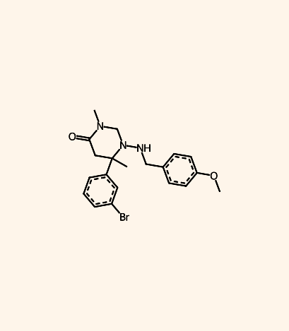 COc1ccc(CNN2CN(C)C(=O)CC2(C)c2cccc(Br)c2)cc1